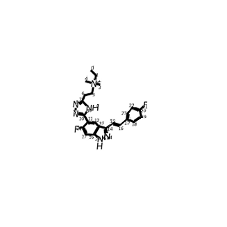 CC[N+](C)(C)CCc1nnc(-c2cc3c(/C=C/c4ccc(F)cc4)n[nH]c3cc2F)[nH]1